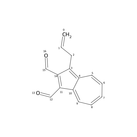 C=CCc1c2cccccc-2c(C=O)c1C=O